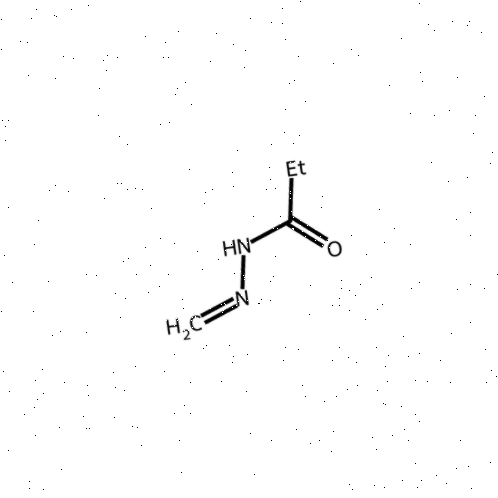 C=NNC(=O)CC